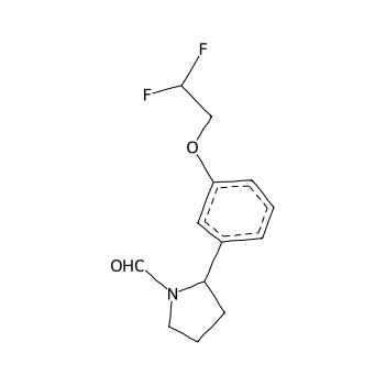 O=CN1CCCC1c1cccc(OCC(F)F)c1